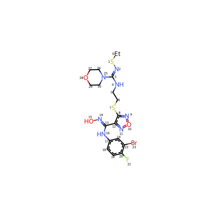 CCS/N=C(/NCCSc1nonc1/C(=N/O)Nc1ccc(F)c(Br)c1)N1CCOCC1